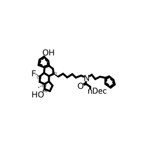 CCCCCCCCCCCC(=O)N(CCCCCC[C@@H]1Cc2cc(O)ccc2C2C1C1CC[C@H](O)[C@@]1(C)C[C@@H]2F)CCCc1ccccc1